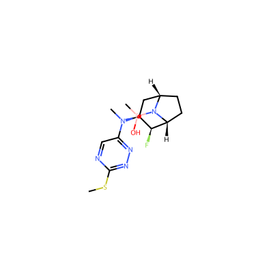 CSc1ncc(N(C)[C@H]2C[C@@H]3CC[C@H]([C@H]2F)N3B(C)O)nn1